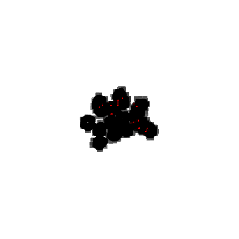 c1ccc(-c2cc(-c3ccccc3)cc(-c3cc(-c4cc(-c5ccccc5)cc(-c5ccccc5)c4)cc(C4(c5cc(-c6cc(-c7ccccc7)cc(-c7ccccc7)c6)cc(-c6cc(-c7ccccc7)cc(-c7ccccc7)c6)c5)c5ccccc5-c5ccc(-c6nc(-c7ccccc7)nc(-c7ccccc7)n6)cc54)c3)c2)cc1